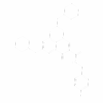 O=C(NCc1ccc(Cl)cc1)c1cn2c3c(cc(CN4CCOCC4)cc3c1=O)OC(CN1CCOCC1)C2